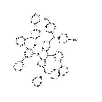 CC(C)(C)c1ccc(N(c2ccc(C(C)(C)C)cc2)c2cc3c4c(c2)N2c5ccc(-c6ccccc6)cc5-c5ccccc5-c5cc(-c6ccccc6)cc(c52)B4c2ccc(N(c4ccccc4)c4ccccc4)cc2N3c2cccc(-c3ccccc3)c2)cc1